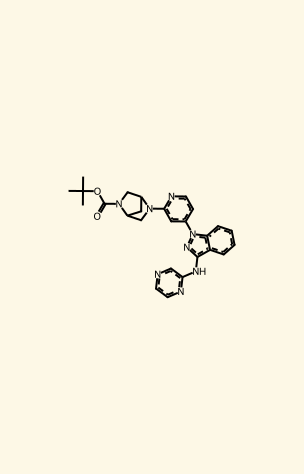 CC(C)(C)OC(=O)N1CC2CC1CN2c1cc(-n2nc(Nc3cnccn3)c3ccccc32)ccn1